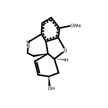 COc1ccc2c3c1O[C@H]1C[C@@H](O)C=C[C@]31CCNC2